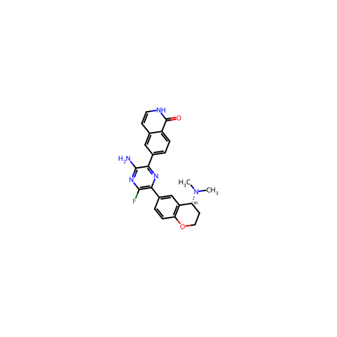 CN(C)[C@@H]1CCOc2ccc(-c3nc(-c4ccc5c(=O)[nH]ccc5c4)c(N)nc3F)cc21